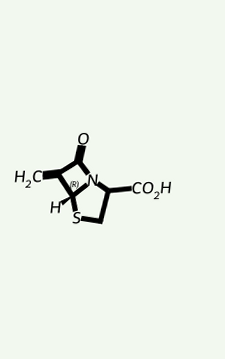 C=C1C(=O)N2C(C(=O)O)CS[C@H]12